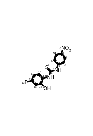 O=[N+]([O-])c1ccc(NC(=S)Nc2ccc(F)cc2O)cc1